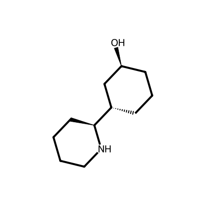 O[C@H]1CCC[C@H]([C@@H]2CCCCN2)C1